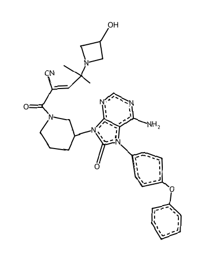 CC(C)(C=C(C#N)C(=O)N1CCCC(n2c(=O)n(-c3ccc(Oc4ccccc4)cc3)c3c(N)ncnc32)C1)N1CC(O)C1